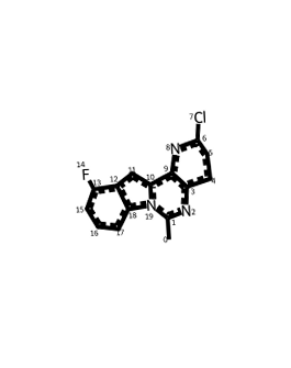 Cc1nc2ccc(Cl)nc2c2cc3c(F)cccc3n12